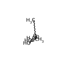 CCCCCCCCCCCCOC(=O)C(C)(C)CSCC(O)CO